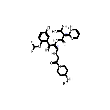 CCNC1CCN(C(=O)CN/C=C(/NC(=O)/C(C(=N)N)=C2\N=CC=CN2)C(=N)c2cc(Cl)ccc2OC(F)F)CC1